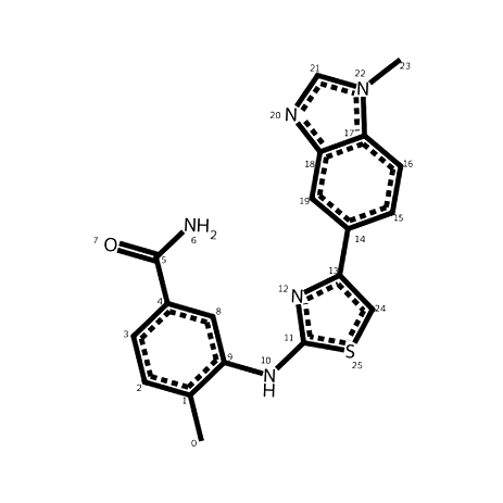 Cc1ccc(C(N)=O)cc1Nc1nc(-c2ccc3c(c2)ncn3C)cs1